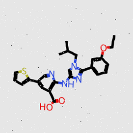 CCOc1cccc(-c2nc(Nc3ncc(-c4cccs4)cc3C(=O)O)cn2CC(C)C)c1